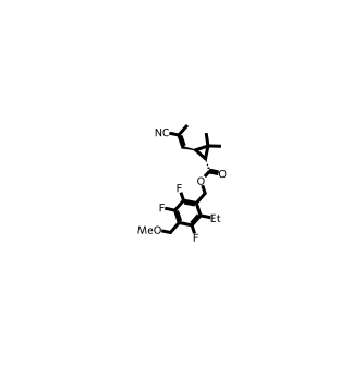 CCc1c(F)c(COC)c(F)c(F)c1COC(=O)[C@@H]1[C@@H](C=C(C)C#N)C1(C)C